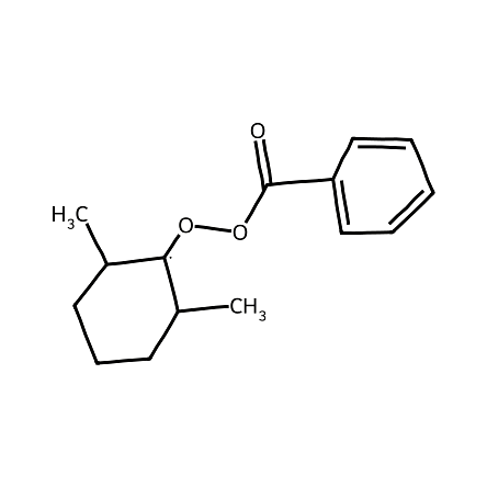 CC1CCCC(C)[C]1OOC(=O)c1ccccc1